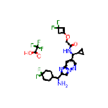 NC(c1cn2ncc(C(NC(=O)COC3CC(F)(F)C3)C3CC3)cc2n1)C1CCC(F)(F)CC1.O=C(O)C(F)(F)F